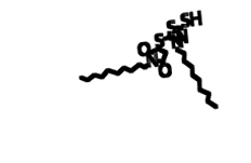 CCCCCCCCCCN1C(=O)CC(SC2SC(S)=NN2CCCCCCCCCC)C1=O